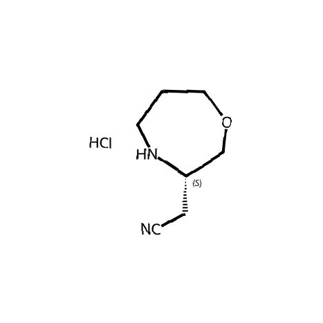 Cl.N#CC[C@H]1COCCCN1